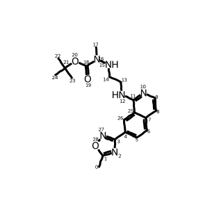 Cc1nc(-c2ccc3ccnc(NCCNN(C)C(=O)OC(C)(C)C)c3c2)no1